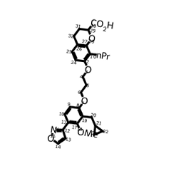 CCCc1c(OCCCOc2ccc(-c3ccon3)c(OC)c2CC2CC2)ccc2c1OC(C(=O)O)CC2